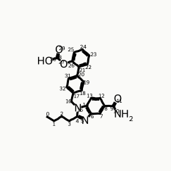 CCCCc1nc2cc(C(N)=O)ccc2n1Cc1ccc(-c2ccccc2OC(=O)O)cc1